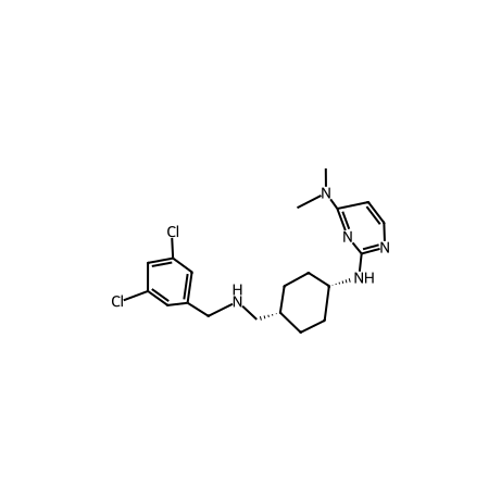 CN(C)c1ccnc(N[C@H]2CC[C@@H](CNCc3cc(Cl)cc(Cl)c3)CC2)n1